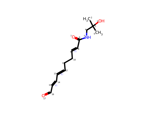 CC(C)(O)CNC(=O)/C=C/CC/C=C/C=C/C=O